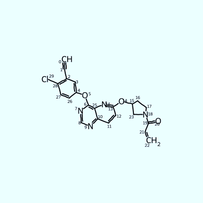 C#Cc1cc(Oc2ncnc3ccc(OC4CCN(C(=O)C=C)C4)nc23)ccc1Cl